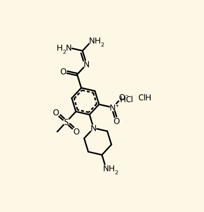 CS(=O)(=O)c1cc(C(=O)N=C(N)N)cc([N+](=O)[O-])c1N1CCC(N)CC1.Cl.Cl